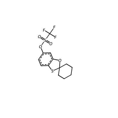 O=S(=O)(Oc1ccc2c(c1)OC1(CCCCC1)S2)C(F)(F)F